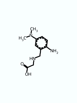 CN(C)c1ccc(N)c(CNCC(=O)O)c1